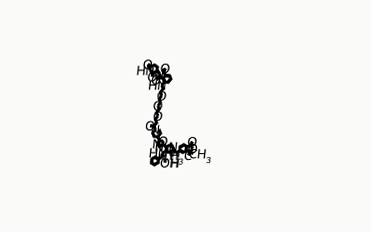 CC1(C)OC(=O)c2ccc(Nc3ncc(-c4nnc(C5CCN(C(=O)CCOCCOCCOCCNc6cccc7c6C(=O)N(C6CCC(=O)NC6=O)C7=O)CC5)o4)c(N[C@H](CO)c4ccccc4)n3)cc21